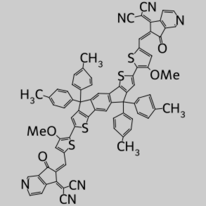 COc1cc(/C=C2\C(=O)c3cnccc3C2=C(C#N)C#N)sc1-c1cc2c(s1)-c1cc3c(cc1C2(c1ccc(C)cc1)c1ccc(C)cc1)-c1sc(-c2sc(/C=C4\C(=O)c5cnccc5C4=C(C#N)C#N)cc2OC)cc1C3(c1ccc(C)cc1)c1ccc(C)cc1